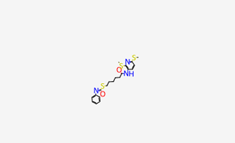 CSc1ccc(NC(=O)CCCCCSc2nc3ccccc3o2)c(SC)n1